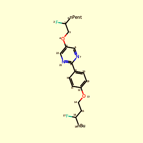 CCCCCC(F)COc1cnc(-c2ccc(OCCC(F)CCCC)cc2)nc1